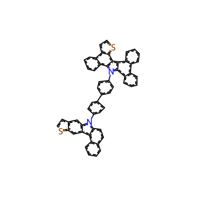 c1ccc2c(c1)ccc1c2c2cc3sccc3cc2n1-c1ccc(-c2ccc(-n3c4c5ccccc5c5ccccc5c4c4c5sccc5c5ccccc5c43)cc2)cc1